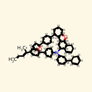 C=C/C=C(\C)c1ccc(-c2ccc(N(c3cccc(C4C=CC=CC4)c3)c3cc4c(oc5cccc(-c6ccc(-c7ccco7)cc6)c54)c4c3C=CCC4)cc2)cc1